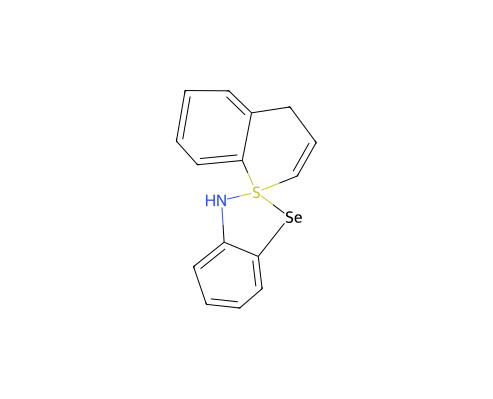 C1=CS2(Nc3ccccc3[Se]2)c2ccccc2C1